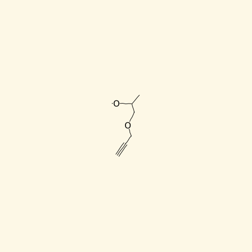 C#CCOCC(C)[O]